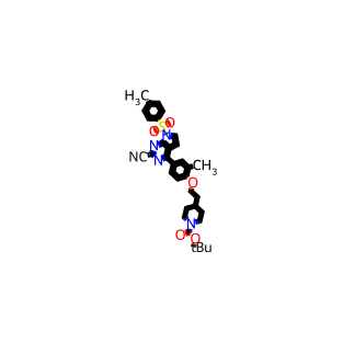 Cc1ccc(S(=O)(=O)n2ccc3c(-c4ccc(OCCC5CCN(C(=O)OC(C)(C)C)CC5)c(C)c4)nc(C#N)nc32)cc1